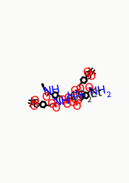 C#CCNC(=O)c1ccc(COC(=O)OC(OC(=O)OCc2ccc(C(N)=O)cc2NC(=O)OCc2ccc(B3OC(C)(C)C(C)(C)O3)cc2)C(=O)OCC)c(NC(=O)OCc2ccc(B3OC(C)(C)C(C)(C)O3)cc2)c1